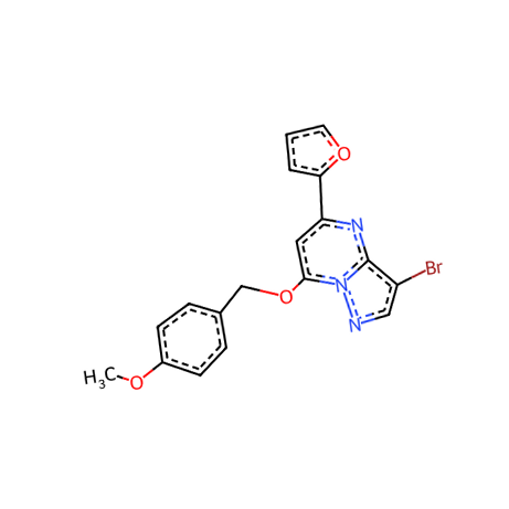 COc1ccc(COc2cc(-c3ccco3)nc3c(Br)cnn23)cc1